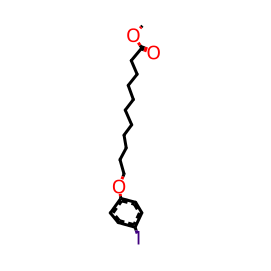 COC(=O)CCCCCCCCCCOc1ccc(I)cc1